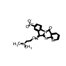 CN(C)CCON=C1c2cc([N+](=O)[O-])ccc2-n2c1nc1ncccc1c2=O